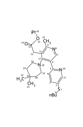 CCCCSc1ccc(-c2cnc(C)c(CC(=O)OC(C)C)c2N2CCC(C)(C)CC2)nc1